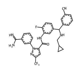 N#Cc1cccc(C(NCC2CC2)c2ccc(F)c(NC(=O)c3cc(C(F)(F)F)nn3-c3cccc(C(=N)N)c3)c2)c1